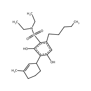 CCCCCc1cc(O)c(C2C=C(C)CCC2)c(O)c1S(=O)(=O)N(CC)CC